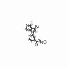 O=NOC(=O)c1ccnc(-n2cc(Br)c3c(F)ncnc32)c1